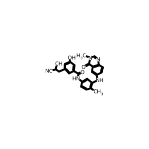 Cc1ccc(NC(=O)c2cc(O)cc(CC(C)C#N)c2)cc1Nc1ccc2ncn(C)c(=O)c2c1